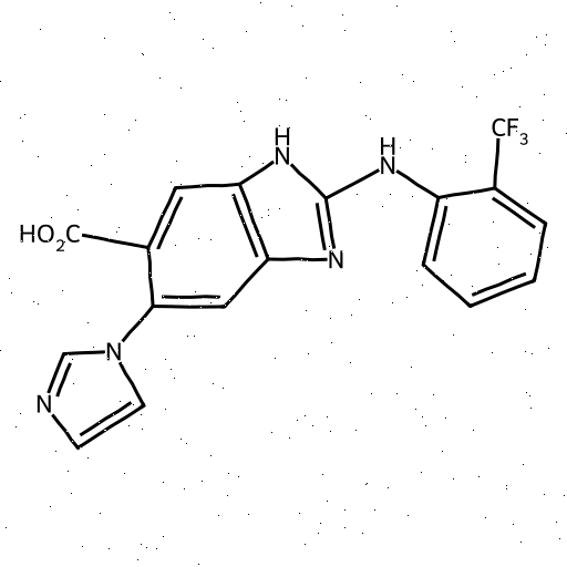 O=C(O)c1cc2[nH]c(Nc3ccccc3C(F)(F)F)nc2cc1-n1ccnc1